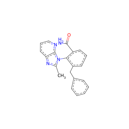 Cc1nc2cccnc2n1-c1c(Cc2ccccc2)cccc1C(N)=O